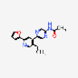 CCc1cnc(-c2ccco2)cc1-c1cnc(NC(C)=O)cn1